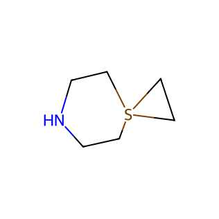 C1CS2(CCN1)CC2